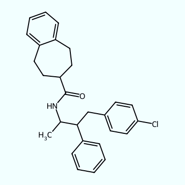 CC(NC(=O)C1CCc2ccccc2CC1)C(Cc1ccc(Cl)cc1)c1ccccc1